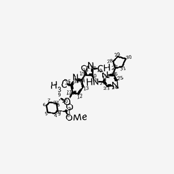 COC(=O)[C@H]1CCCC[C@@H]1COc1ccc(-c2onc(C)c2Nc2cncc(C3CCCC3)n2)nc1C